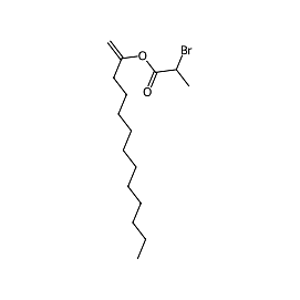 C=C(CCCCCCCCCCC)OC(=O)C(C)Br